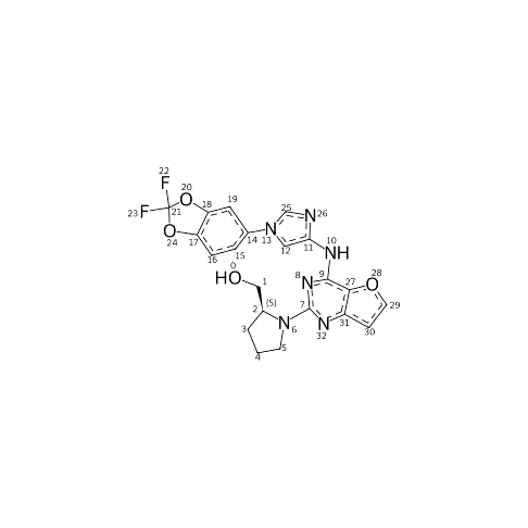 OC[C@@H]1CCCN1c1nc(Nc2cn(-c3ccc4c(c3)OC(F)(F)O4)cn2)c2occc2n1